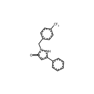 O=c1cc(-c2ccccc2)[nH]n1Cc1ccc(C(F)(F)F)cc1